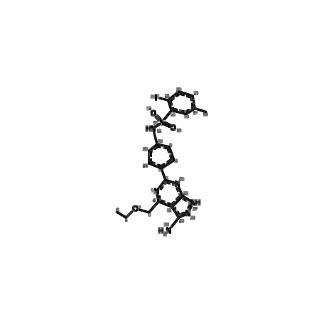 CCOCc1nc(-c2ccc(NS(=O)(=O)c3cc(C)ccc3F)cc2)nc2[nH]nc(N)c12